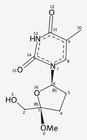 CO[C@]1(CO)CC[C@H](n2cc(C)c(=O)[nH]c2=O)O1